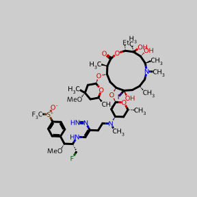 CC[C@H]1OC(=O)[C@H](C)[C@@H](O[C@H]2C[C@@](C)(OC)C[C@H](C)O2)C[C@@H](O[C@H]2C[C@@H](N(C)CC/C(=C/N[C@H](CF)[C@H](OC)c3ccc([S+]([O-])C(F)(F)F)cc3)N=N)C[C@@H](C)O2)[C@@](O)(I)C[C@@H](C)CN(C)[C@H](C)[C@@H](O)[C@]1(C)O